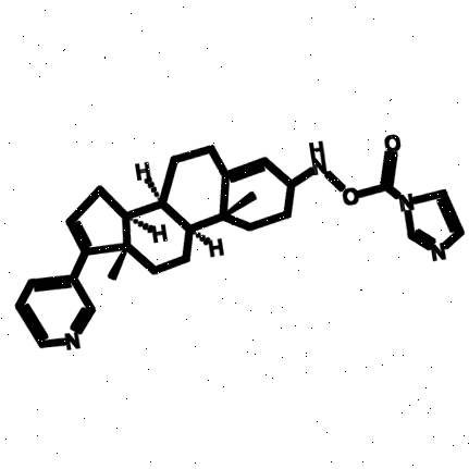 C[C@]12CCC(NOC(=O)n3ccnc3)C=C1CC[C@H]1[C@@H]2CC[C@]2(C)C(c3cccnc3)=CC[C@@H]12